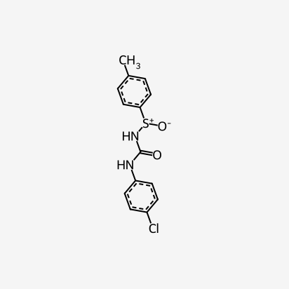 Cc1ccc([S+]([O-])NC(=O)Nc2ccc(Cl)cc2)cc1